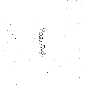 O=C1NC(=O)/C(=C/c2ccnc(N3CCC(CNCc4ccc(-c5ccncc5F)nc4)CC3)n2)S1